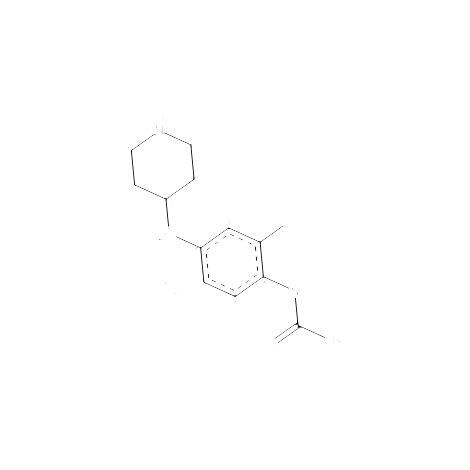 CC(C)(C)C(=O)Nc1ccc(OC2CCNCC2)cc1F.Cl